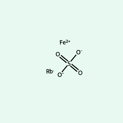 O=S(=O)([O-])[O-].[Fe+2].[Rb]